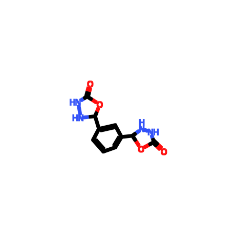 O=C1NNC(c2cccc(C3NNC(=O)O3)c2)O1